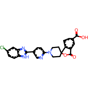 O=C(O)c1ccc2c(c1)C(=O)OC21CCN(c2ccc(-c3nc4cc(Cl)ccc4[nH]3)cn2)CC1